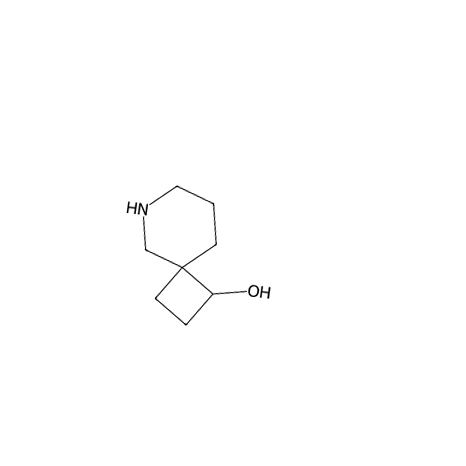 OC1CCC12CCCNC2